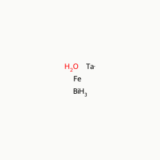 O.[BiH3].[Fe].[Ta]